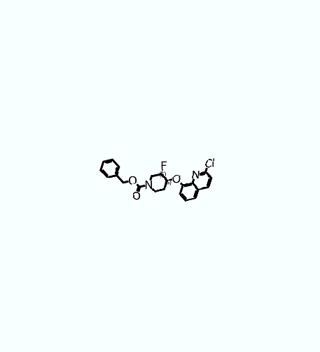 O=C(OCc1ccccc1)N1CC[C@H](Oc2cccc3ccc(Cl)nc23)[C@@H](F)C1